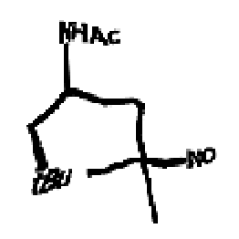 CC(=O)NC(CC(C)(C)C)CC(C)(C)N=O